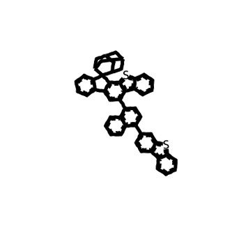 c1ccc2c(c1)-c1cc(-c3ccc(-c4ccc5c(c4)sc4ccccc45)c4ccccc34)c3c(sc4ccccc43)c1C21C2CC3CC(C2)CC1C3